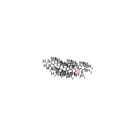 Bc1c(-c2c3c(B)c(B)c(B)c(B)c3c(-c3c(B)c(B)c(-c4c(B)c(B)c5c(B)c(B)c(B)c(B)c5c4B)c4c(B)c(B)c(B)c(B)c34)c3c(B)c(B)c(B)c(B)c23)c(B)c2c(oc3c4c(B)c(B)c(B)c(B)c4c(B)c(B)c32)c1B